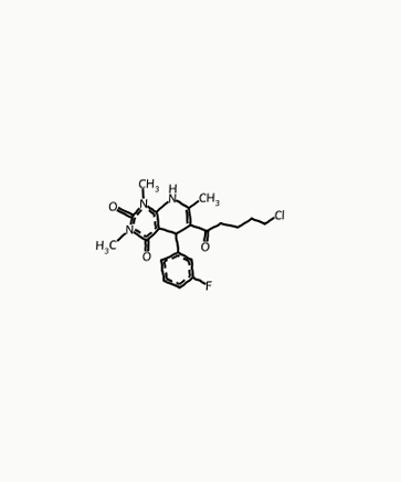 CC1=C(C(=O)CCCCCl)C(c2cccc(F)c2)c2c(n(C)c(=O)n(C)c2=O)N1